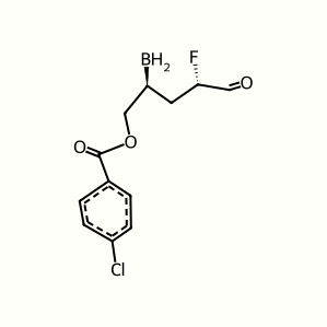 B[C@H](COC(=O)c1ccc(Cl)cc1)C[C@H](F)C=O